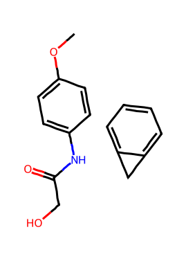 COc1ccc(NC(=O)CO)cc1.c1ccc2c(c1)C2